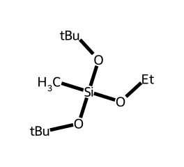 CCO[Si](C)(OC(C)(C)C)OC(C)(C)C